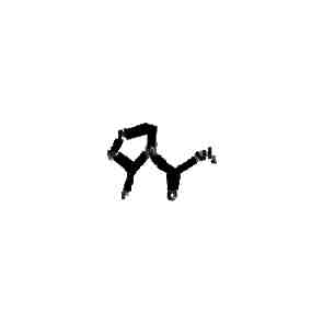 NC(=O)n1cnnc1F